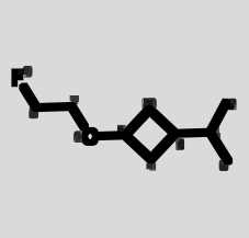 CC(C)C1CC(OCCF)C1